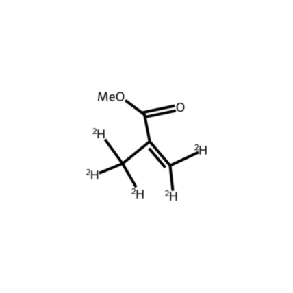 [2H]C([2H])=C(C(=O)OC)C([2H])([2H])[2H]